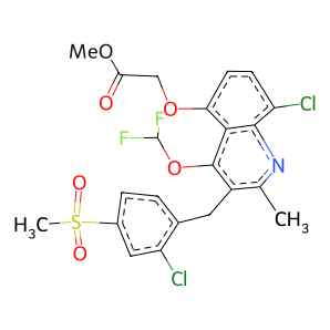 COC(=O)COc1ccc(Cl)c2nc(C)c(Cc3ccc(S(C)(=O)=O)cc3Cl)c(OC(F)F)c12